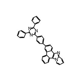 c1ccc(-c2nc(-c3ccccc3)nc(-c3ccc(-c4ccc5c(c4)c4ccccc4c4c5nc5ccccn54)cc3)n2)cc1